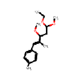 CCOC(CC(OC)/C(C)=C/c1ccc(C)cc1)OC